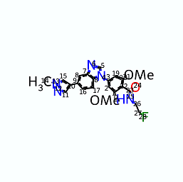 COc1cc(-n2cnc3cc(-c4cnn(C)c4)ccc32)cc(OC)c1C(=O)NCCF